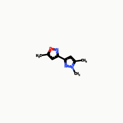 Cc1cc(-c2cc(C)n(C)n2)no1